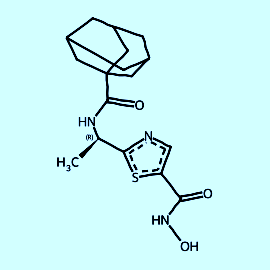 C[C@@H](NC(=O)C12CC3CC(CC(C3)C1)C2)c1ncc(C(=O)NO)s1